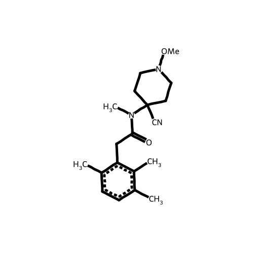 CON1CCC(C#N)(N(C)C(=O)Cc2c(C)ccc(C)c2C)CC1